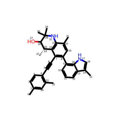 Cc1ccc(C#Cc2c(-c3cccc4c(C)c[nH]c34)cc(C)c3c2[C@H](C)C(O)C(C)(C)N3)c(C)c1